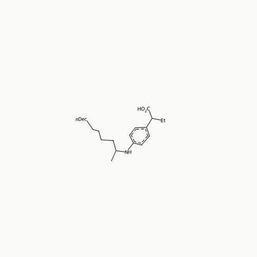 CCCCCCCCCCCCCCC(C)Nc1ccc(C(CC)C(=O)O)cc1